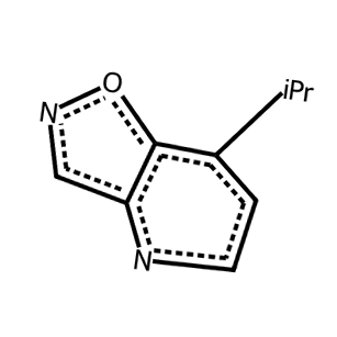 CC(C)c1ccnc2cnoc12